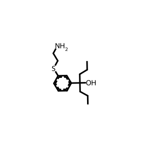 CCCC(O)(CCC)c1cccc(SCCN)c1